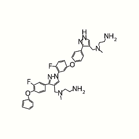 CN(CCN)Cc1c[nH]nc1-c1ccc(Oc2ccc(F)c(-n3cc(CN(C)CCN)c(-c4ccc(Oc5ccccc5)c(F)c4)n3)c2)cc1